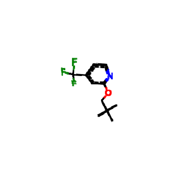 CC(C)(C)COc1cc(C(F)(F)F)ccn1